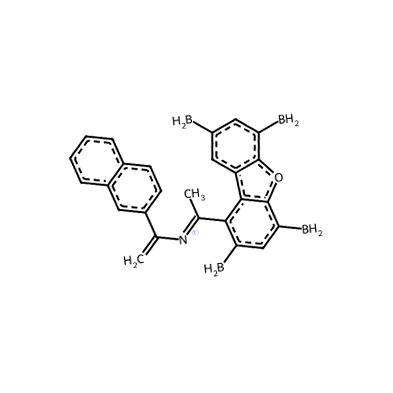 Bc1cc(B)c2oc3c(B)cc(B)c(/C(C)=N/C(=C)c4ccc5ccccc5c4)c3c2c1